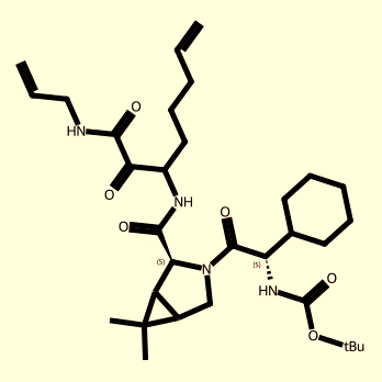 C=CCCCC(NC(=O)[C@@H]1C2C(CN1C(=O)[C@@H](NC(=O)OC(C)(C)C)C1CCCCC1)C2(C)C)C(=O)C(=O)NCC=C